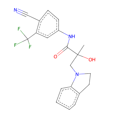 CC(O)(CN1CCc2ccccc21)C(=O)Nc1ccc(C#N)c(C(F)(F)F)c1